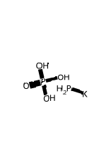 O=P(O)(O)O.[PH2][K]